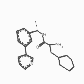 C[C@H](NC(=O)C(N)CC1CCCCC1)c1cccc(-c2cccnc2)c1